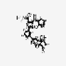 COc1ncccc1Nc1sc(-c2cccc(-c3cc([C@]4(O)CCN(C)C4=O)on3)c2)nc1C(N)=O